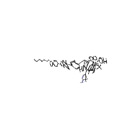 C=C(/C=C\C(=C/C)C(C)(C)C)C(=O)N[C@@H](Cc1ccc(-c2ncc(-c3ccc(OCCCCCCC)cc3)cn2)cc1)C(=O)N[C@H](C(=O)O)C(C)(C)C